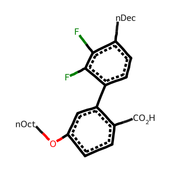 CCCCCCCCCCc1ccc(-c2cc(OCCCCCCCC)ccc2C(=O)O)c(F)c1F